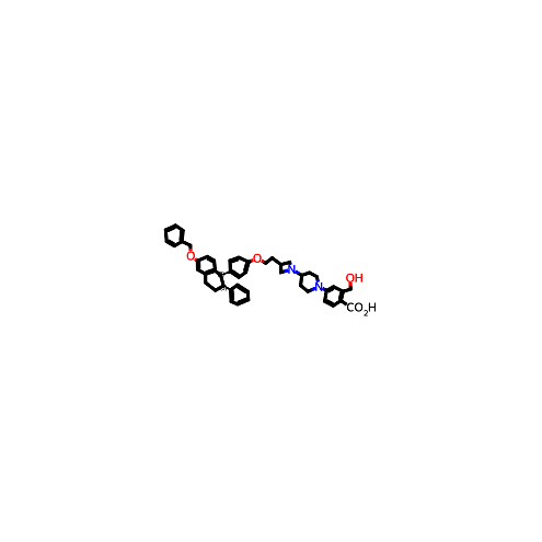 O=C(O)c1ccc(N2CCC(N3CC(CCOc4ccc([C@@H]5c6ccc(OCc7ccccc7)cc6CC[C@@H]5c5ccccc5)cc4)C3)CC2)cc1CO